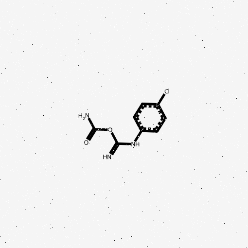 N=C(Nc1ccc(Cl)cc1)OC(N)=O